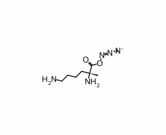 C[C@@](N)(CCCCN)C(=O)ON=[N+]=[N-]